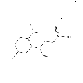 CCC(CCC(=O)O)C1CC(C)CCC1C(C)C